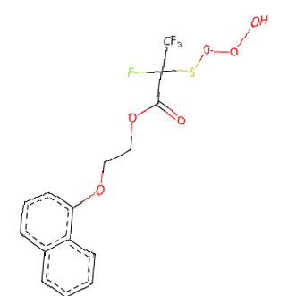 O=C(OCCOc1cccc2ccccc12)C(F)(SOOO)C(F)(F)F